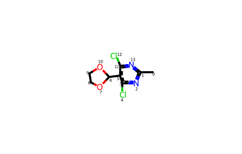 Cc1nc(Cl)c(C2OCCO2)c(Cl)n1